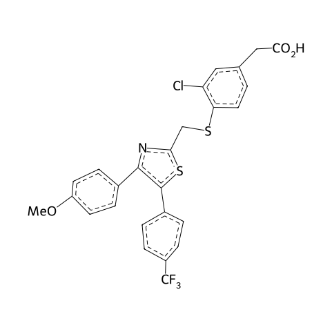 COc1ccc(-c2nc(CSc3ccc(CC(=O)O)cc3Cl)sc2-c2ccc(C(F)(F)F)cc2)cc1